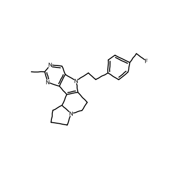 Cc1ncc2c(n1)c1c(n2CCc2ccc(CF)cc2)CCN2CCCC12